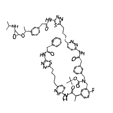 CC(C)NC1OC1OC(C)c1cccc(CC(=O)Nc2nnc(CCCCc3ccc(NC(=O)Cc4cccc(CN(Cc5cc(C(C)C(=O)Nc6ccc(CCCCc7nnc(NC(=O)Cc8ccccc8)s7)nn6)ccc5F)C(=O)OC(C)(C)C)c4)nn3)s2)c1